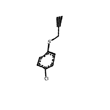 C#CCSc1ccc(Cl)cc1